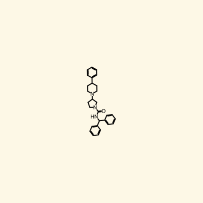 O=C(NC(c1ccccc1)c1ccccc1)N1CCC(N2CCC(c3ccccc3)CC2)C1